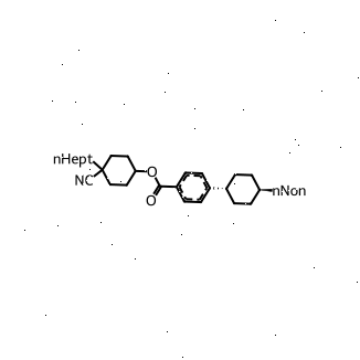 CCCCCCCCC[C@H]1CC[C@H](c2ccc(C(=O)OC3CCC(C#N)(CCCCCCC)CC3)cc2)CC1